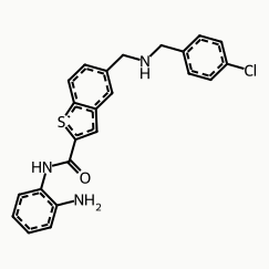 Nc1ccccc1NC(=O)c1cc2cc(CNCc3ccc(Cl)cc3)ccc2s1